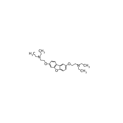 CCN(CC)CCOc1ccc2c(c1)oc1ccc(OCCN(CC)CC)cc12